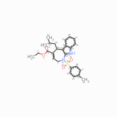 CCOC(=O)C1=CCN(S(=O)(=O)c2ccc(C)cc2)c2[nH]c3ccccc3c2C1CC(C)C